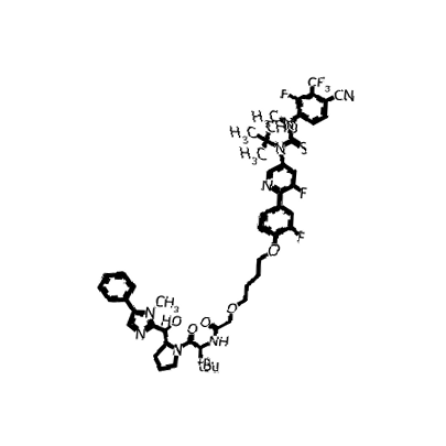 CN(C(=S)N(c1cnc(-c2ccc(OCCCCOCC(=O)NC(C(=O)N3CCCC3C(O)c3ncc(-c4ccccc4)n3C)C(C)(C)C)c(F)c2)c(F)c1)C(C)(C)C=O)c1ccc(C#N)c(C(F)(F)F)c1F